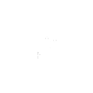 C#Cc1ccc(NCC)cc1C(=O)OC